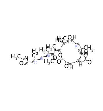 CO[C@@H](/C(C)=C/C=C/C(C)=C/c1coc(C)n1)[C@@H](C)[C@@H]1C[C@H](O)[C@]2(C)O[C@@H]2/C=C/[C@@H](C)[C@H]2C[C@H](CC(=O)O2)C[C@H]2OC2C(=O)O1